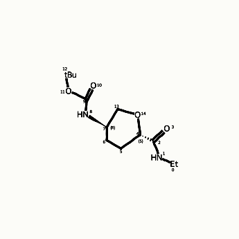 CCNC(=O)[C@@H]1CC[C@@H](NC(=O)OC(C)(C)C)CO1